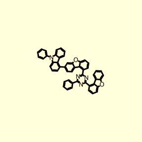 c1ccc(-c2nc(-c3cccc4oc5ccccc5c34)nc(-c3cccc4oc5cc(-c6cccc7c6c6ccccc6n7-c6ccccc6)ccc5c34)n2)cc1